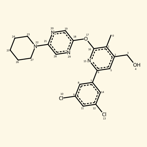 Cc1c(CO)cc(-c2cc(Cl)cc(Cl)c2)nc1Oc1cnc(N2CCCCC2)cn1